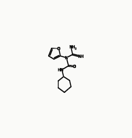 N=C(N)N(C(=O)NC1CCCCC1)c1ccco1